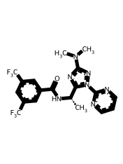 C[C@H](NC(=O)c1cc(C(F)(F)F)cc(C(F)(F)F)c1)c1nc(N(C)C)nn1-c1ncccn1